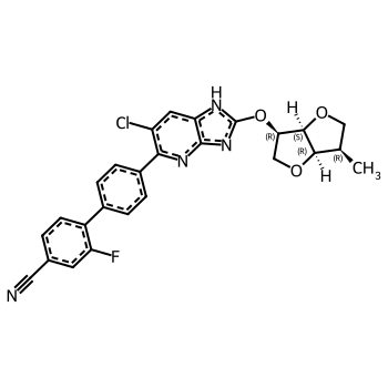 C[C@@H]1CO[C@H]2[C@@H]1OC[C@H]2Oc1nc2nc(-c3ccc(-c4ccc(C#N)cc4F)cc3)c(Cl)cc2[nH]1